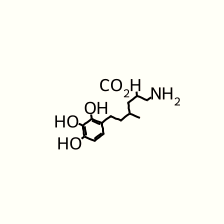 CC(CCc1ccc(O)c(O)c1O)CC(CN)C(=O)O